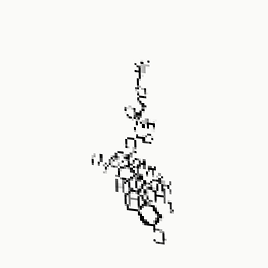 C[C@H]1C[C@H]2[C@@H]3CCC4=CC(=O)C=C[C@]4(C)[C@@]3(F)[C@@H](O)C[C@]2(C)[C@@]1(O)C(=O)COC(=O)CNC(=O)CCOCCS